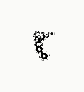 CC(C)(C)OC(=O)C[C@@H](Cc1ccc(-c2ccccc2)cc1)C(=O)NCC(=S)OC(C)(C)C